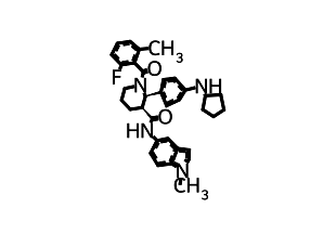 Cc1cccc(F)c1C(=O)N1CCC[C@H](C(=O)Nc2ccc3c(ccn3C)c2)[C@@H]1c1ccc(NC2CCCC2)cc1